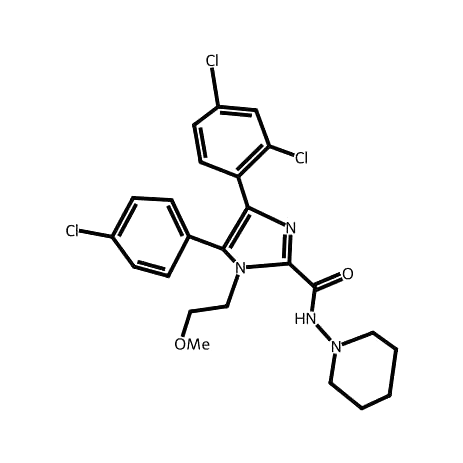 COCCn1c(C(=O)NN2CCCCC2)nc(-c2ccc(Cl)cc2Cl)c1-c1ccc(Cl)cc1